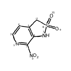 O=[N+]([O-])c1nccc2c1NS(=O)(=O)C2